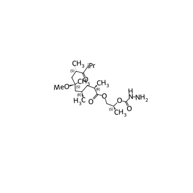 CO[C@@](C)(C[C@H](C)C[C@@H](C)C(=O)OC[C@H](C)OC(=O)NN)C[C@H](C)C(=O)C(C)C